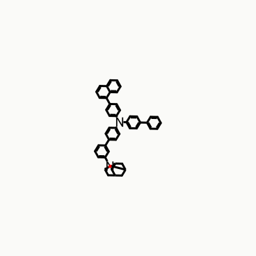 c1ccc(-c2ccc(N(c3ccc(-c4cccc(N5C6CC7CC(C6)CC5C7)c4)cc3)c3ccc(-c4cccc5ccccc45)cc3)cc2)cc1